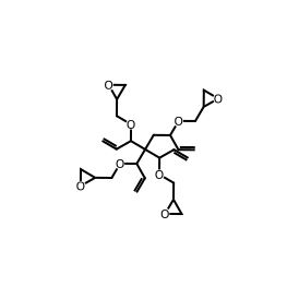 C=CC(CC(C(C=C)OCC1CO1)(C(C=C)OCC1CO1)C(C=C)OCC1CO1)OCC1CO1